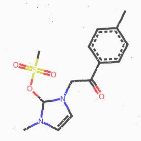 Cc1ccc(C(=O)CN2C=CN(C)C2OS(C)(=O)=O)cc1